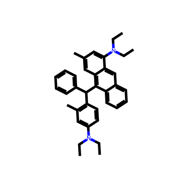 CCN(CC)c1ccc(C(c2ccccc2)c2c3ccccc3cc3c(N(CC)CC)cc(C)cc23)c(C)c1